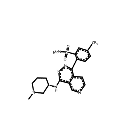 CNS(=O)(=O)c1cc(C(F)(F)F)ccc1-c1nnc(N[C@@H]2CCCN(C)C2)c2cnccc12